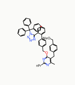 CCCc1nc(C)c(Cc2ccc(COC)cc2)c(OCc2ccc(-c3ccccc3-c3nnnn3C(c3ccccc3)(c3ccccc3)c3ccccc3)cc2)n1